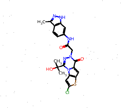 Cc1n[nH]c2cc(NC(=O)Cn3nc(C(C)(C)O)n4c(cc5sc(Cl)cc54)c3=O)ccc12